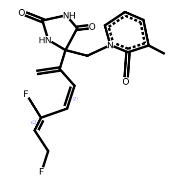 C=C(/C=C\C(F)=C/CF)C1(Cn2cccc(C)c2=O)NC(=O)NC1=O